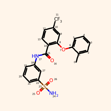 Cc1ccccc1Oc1cc(C(F)(F)F)ccc1C(=O)Nc1cccc(S(N)(=O)=O)c1